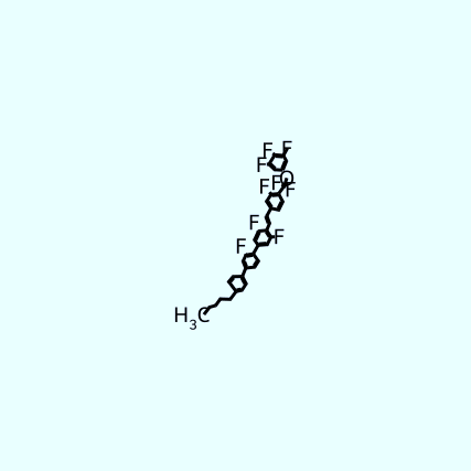 CCCCCc1ccc(-c2ccc(-c3cc(F)c(/C=C/c4ccc(C(F)(F)Oc5cc(F)c(F)c(F)c5)c(F)c4)c(F)c3)c(F)c2)cc1